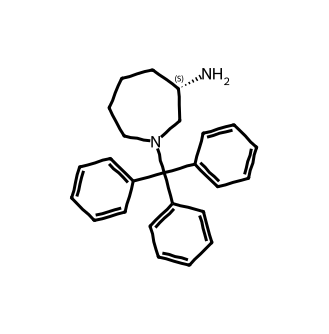 N[C@H]1CCCCN(C(c2ccccc2)(c2ccccc2)c2ccccc2)C1